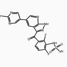 CCCS(=O)(=O)Nc1c(F)ccc(C(=O)c2n[nH]c3ncc(-c4cnc(C(C)C)nc4)cc23)c1F